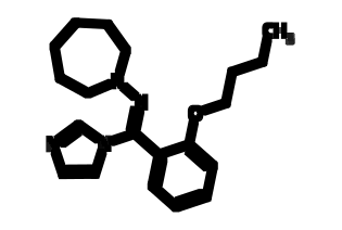 CCCCOc1ccccc1C(=NN1CCCCCC1)n1ccnc1